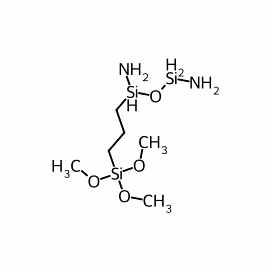 CO[Si](CCC[SiH](N)O[SiH2]N)(OC)OC